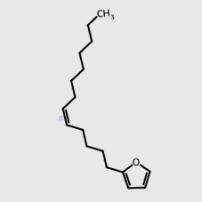 CCCCCCC/C=C\CCCCc1ccco1